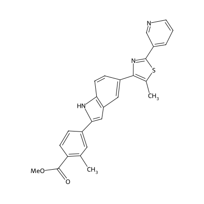 COC(=O)c1ccc(-c2cc3cc(-c4nc(-c5cccnc5)sc4C)ccc3[nH]2)cc1C